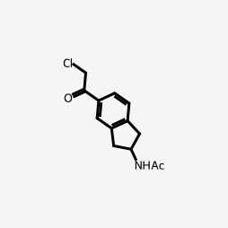 CC(=O)NC1Cc2ccc(C(=O)CCl)cc2C1